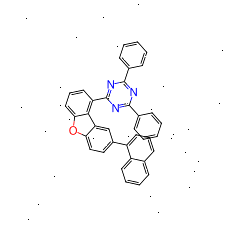 c1ccc(-c2nc(-c3ccccc3)nc(-c3cccc4oc5ccc(-c6cccc7ccccc67)cc5c34)n2)cc1